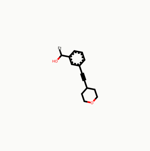 CCC(O)c1cccc(C#CC2CCOCC2)c1